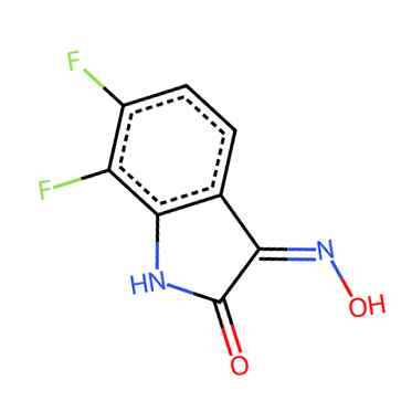 O=C1Nc2c(ccc(F)c2F)C1=NO